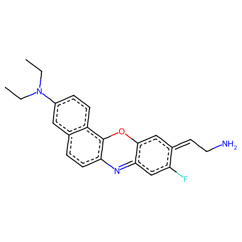 CCN(CC)c1ccc2c3c(ccc2c1)N=c1cc(F)/c(=C\CN)cc1O3